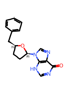 O=c1nc[nH]c2c1ncn2[C@H]1CC[C@@H](Cc2cc[c]cc2)O1